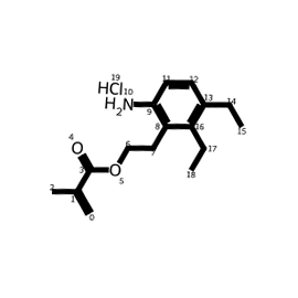 C=C(C)C(=O)OCCc1c(N)ccc(CC)c1CC.Cl